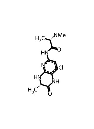 CN[C@@H](C)C(=O)Nc1ccc2c(n1)N[C@@H](C)C(=O)N2.Cl